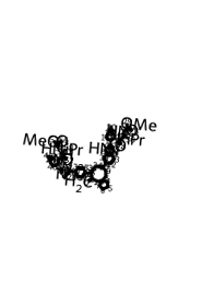 C=C1CC2(CCCC2)CC/C(c2ccc3nc([C@@H]4CC5CC5N4C(=O)[C@@H](NC(=O)OC)C(C)C)[nH]c3c2)=C\C=C/1c1ccc(-c2cnc([C@@H]3CC4CC4N3C(=O)[C@@H](NC(=O)OC)C(C)C)[nH]2)cc1